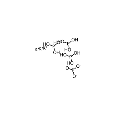 OP(O)O.OP(O)O.OP(O)O.[K+].[K+].[K+].[O-]P([O-])[O-]